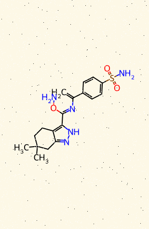 C=C(/N=C(\ON)c1[nH]nc2c1CCC(C)(C)C2)c1ccc(S(N)(=O)=O)cc1